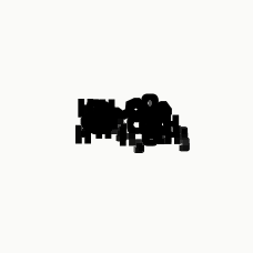 Cc1c(CCB2O[C@@H]3C[C@@H]4C[C@@H](C4(C)C)[C@]3(C)O2)ccc(O[C@@H]2CCNC2)c1C(=O)OC(C)(C)C